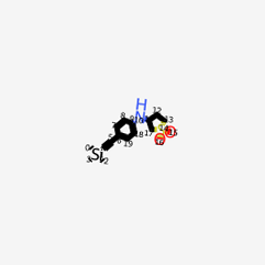 C[Si](C)(C)C#Cc1ccc(NC2CCS(=O)(=O)C2)cc1